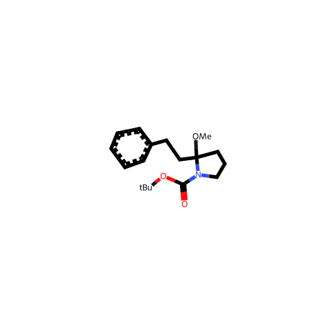 COC1(CCc2ccccc2)CCCN1C(=O)OC(C)(C)C